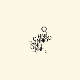 CC[C@H](C)[C@H](NC(=O)[C@@H](N)C(C)C)C(=O)NCC(=O)N[C@@H](Cc1ccccc1)C(=O)O